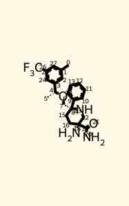 Cc1cc([C@@H](C)OC[C@@]2(c3ccccc3)CC[C@@](N)(C(N)=O)CN2)cc(C(F)(F)F)c1